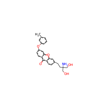 Cc1cccc(Oc2ccc3c(=O)c4ccc(CCC(N)(CO)CO)cc4oc3c2)c1